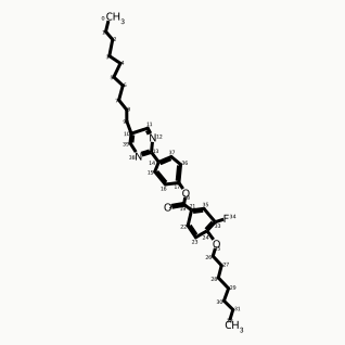 CCCCCCCCCCc1cnc(-c2ccc(OC(=O)c3ccc(OCCCCCCC)c(F)c3)cc2)nc1